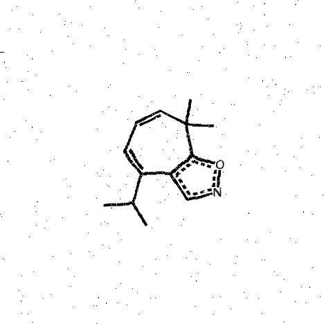 CC(C)C1=CC=CC(C)(C)c2oncc21